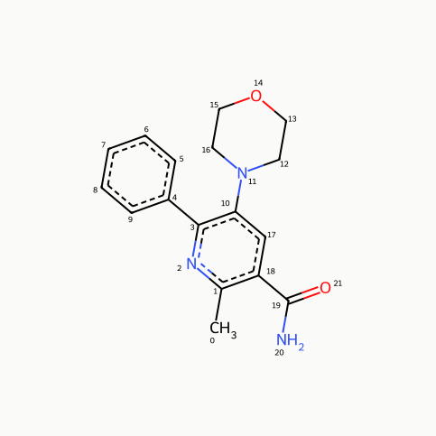 Cc1nc(-c2ccccc2)c(N2CCOCC2)cc1C(N)=O